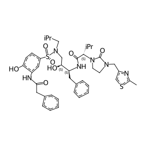 Cc1nc(CN2CCN([C@H](C(=O)N[C@@H](Cc3ccccc3)[C@@H](O)CN(CC(C)C)S(=O)(=O)c3ccc(O)c(NC(=O)Cc4ccccc4)c3)C(C)C)C2=O)cs1